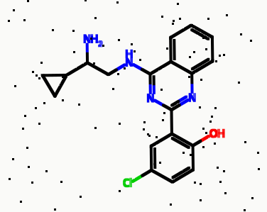 NC(CNc1nc(-c2cc(Cl)ccc2O)nc2ccccc12)C1CC1